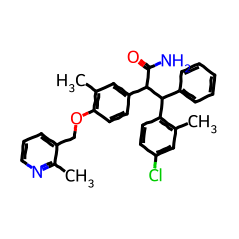 Cc1cc(C(C(N)=O)C(c2ccccc2)c2ccc(Cl)cc2C)ccc1OCc1cccnc1C